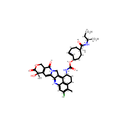 CC[C@@]1(O)C(=O)OCc2c1cc1n(c2=O)Cc2c-1nc1cc(F)c(C)c3c1c2[C@@H](NC(=O)O[C@H]1/C=C/CC[C@@](C)(C(=O)N[C@@H](CC(=O)O)C(=O)O)CC1)CC3